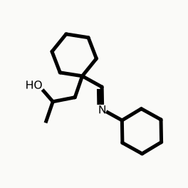 CC(O)CC1(C=NC2CCCCC2)CCCCC1